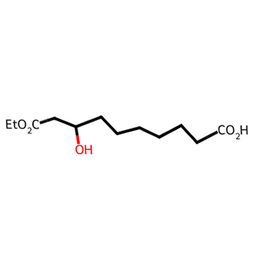 CCOC(=O)CC(O)CCCCCCC(=O)O